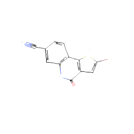 N#Cc1ccc2c(c1)[nH]c(=O)c1cc(Br)sc12